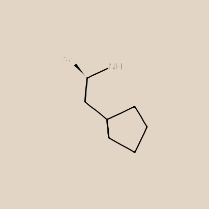 CC(=O)[C@@H](N)CC1CCCC1